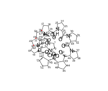 O=CN1CCCC1C(=O)N1CCCC1C(=O)N1CCCC1C(=O)N1CCCC1C(=O)N1CCCC1C(=O)N1CCCC1C(=O)C1CCCC1C(=O)C1CCCC1C(=O)C1CCCC1C(=O)C1CCCC1C(=O)O